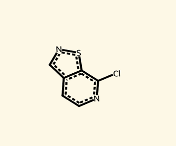 Clc1nccc2cnsc12